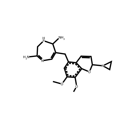 COc1cc(CC2=CN=C(N)CPC2N)c2c(c1OC)OC(N1CC1)C=C2